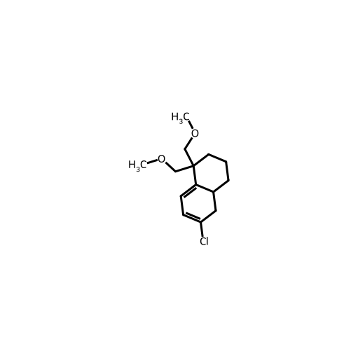 COCC1(COC)CCCC2CC(Cl)=CC=C21